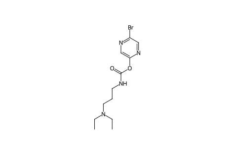 CCN(CC)CCCNC(=O)Oc1cnc(Br)cn1